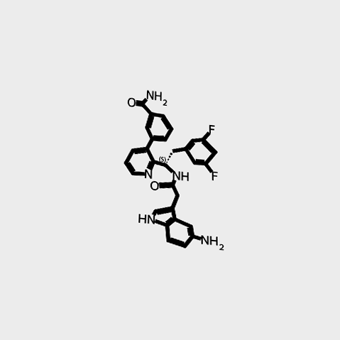 NC(=O)c1cccc(-c2cccnc2[C@H](Cc2cc(F)cc(F)c2)NC(=O)Cc2c[nH]c3ccc(N)cc23)c1